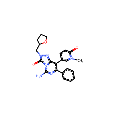 Cn1cc(-c2c(-c3ccccc3)nc(N)n3c(=O)n(CC4CCCO4)nc23)ccc1=O